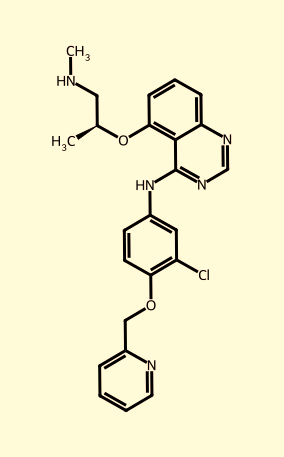 CNC[C@H](C)Oc1cccc2ncnc(Nc3ccc(OCc4ccccn4)c(Cl)c3)c12